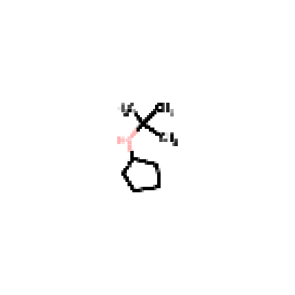 CC(C)(C)BC1CCCC1